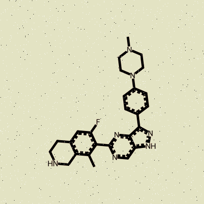 Cc1c2c(cc(F)c1-c1ncc3[nH]nc(-c4ccc(N5CCN(C)CC5)cc4)c3n1)CCNC2